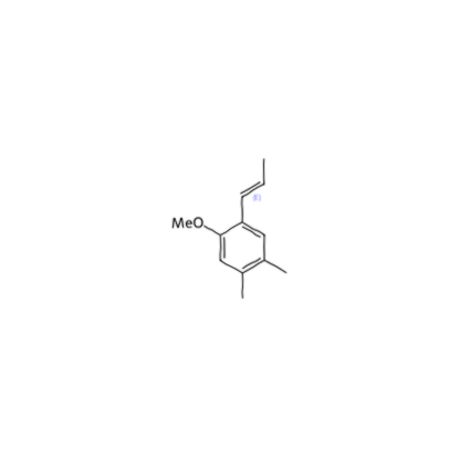 C/C=C/c1cc(C)c(C)cc1OC